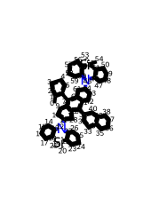 Cc1ccccc1-c1c2ccc(N3c4ccccc4[Si](C)(C)c4ccccc43)cc2c(-c2ccc3ccccc3c2)c2ccc(N3c4ccccc4[Si](C)(C)c4ccccc43)cc12